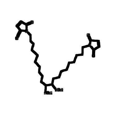 CCCCCCCCC(CCCCCCCCCCN1C(=O)C=CC1=O)C(CCCCCCCC)CCCCCCCCCN1C(=O)C=CC1=O